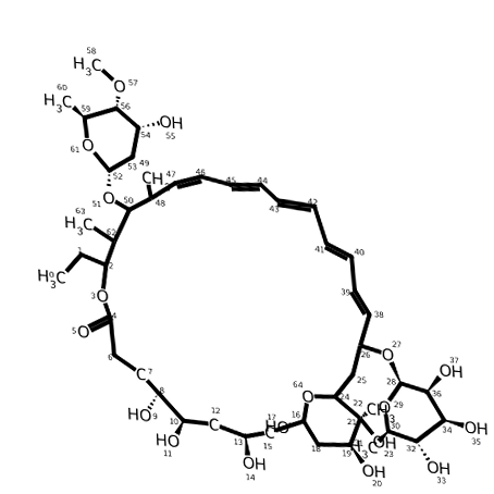 CCC1OC(=O)CC[C@@H](O)[C@H](O)C[C@H](O)C[C@]2(O)C[C@H](O)[C@](C)(O)C(CC(O[C@@H]3O[C@H](C)[C@@H](O)[C@H](O)[C@@H]3O)/C=C/C=C/C=C/C=C/C=C/C(C)C(O[C@H]3C[C@@H](O)[C@@H](OC)[C@H](C)O3)C1C)O2